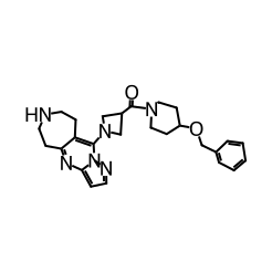 O=C(C1CN(c2c3c(nc4ccnn24)CCNCC3)C1)N1CCC(OCc2ccccc2)CC1